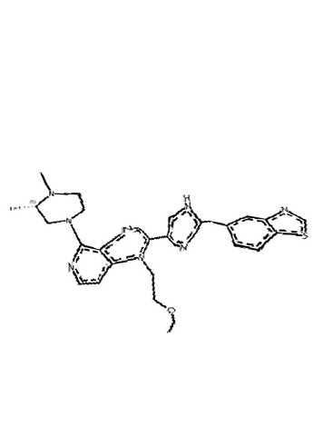 COCCn1c(-c2c[nH]c(-c3ccc4scnc4c3)n2)nc2c(N3CCN(C)[C@@H](C)C3)nccc21